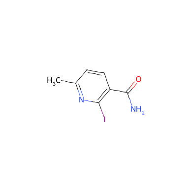 Cc1ccc(C(N)=O)c(I)n1